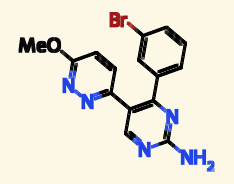 COc1ccc(-c2cnc(N)nc2-c2cccc(Br)c2)nn1